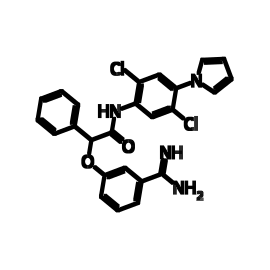 N=C(N)c1cccc(OC(C(=O)Nc2cc(Cl)c(-n3cccc3)cc2Cl)c2ccccc2)c1